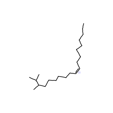 CCCCCCCC/C=C\CCCCCCC(C)[C](C)C